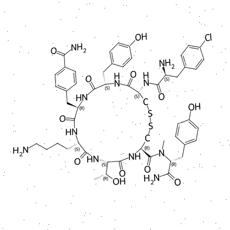 C[C@@H](O)[C@@H]1NC(=O)[C@H](CCCCN)NC(=O)[C@@H](Cc2ccc(C(N)=O)cc2)NC(=O)[C@H](Cc2ccc(O)cc2)NC(=O)[C@H](NC(=O)[C@@H](N)Cc2ccc(Cl)cc2)CSSC[C@@H](C(=O)N(C)[C@H](Cc2ccc(O)cc2)C(N)=O)NC1=O